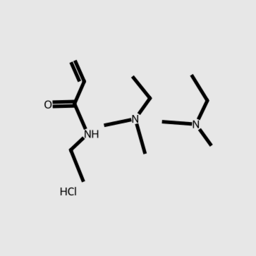 C=CC(=O)NCC.CCN(C)C.CCN(C)C.Cl